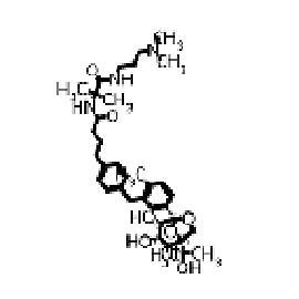 Cc1ccc([C@]23OC[C@](C(C)(C)O)(O2)[C@@H](O)[C@H](O)[C@H]3O)cc1Cc1ccc(CCCC(=O)NC(C)(C)C(=O)NCCCN(C)C)cc1